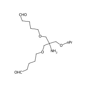 CCCOCC(N)(COCCCCC=O)COCCCCC=O